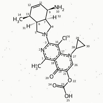 Cc1nc(N2C[C@@H]3[C@H](C2)[C@H](N)C=C[C@@H]3C)c(Cl)c2c1c(=O)c(OC(=O)O)cn2C1CC1